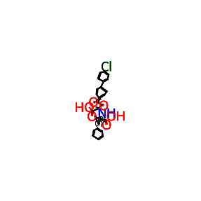 O=C(O)C(N[C@]1(C(=O)O)C[C@H]1c1ccccc1)S(=O)(=O)c1ccc(-c2ccc(Cl)cc2)cc1